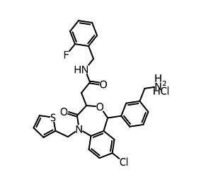 Cl.NCc1cccc(C2OC(CC(=O)NCc3ccccc3F)C(=O)N(Cc3cccs3)c3ccc(Cl)cc32)c1